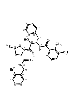 Cc1c(O)cccc1C(=O)N[C@@H](Cc1ccccc1)[C@H](O)C(=O)N1C[C@H](F)C[C@H]1C(=O)NCc1ccccc1Br